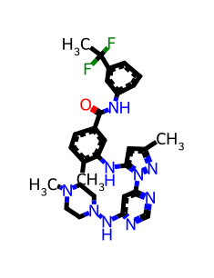 Cc1cc(Nc2cc(C(=O)Nc3cccc(C(C)(F)F)c3)ccc2C)n(-c2cc(NN3CCN(C)CC3)ncn2)n1